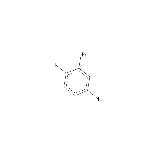 CC(C)c1cc(I)ccc1I